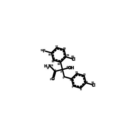 NC(=O)C(O)(Cc1ccc(Cl)cc1)c1cc(F)ccc1Cl